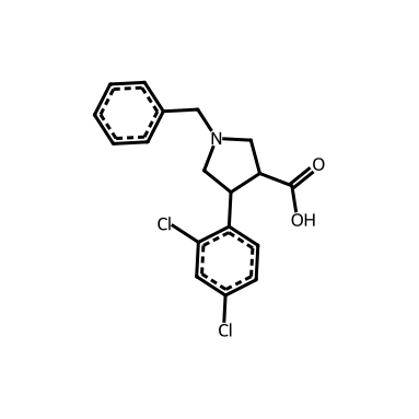 O=C(O)C1CN(Cc2ccccc2)CC1c1ccc(Cl)cc1Cl